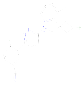 N#Cc1ccc(F)c(-c2ccc(NCC3(c4ncccc4F)CC(F)C3)nn2)c1